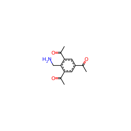 CC(=O)c1cc(C(C)=O)c(CN)c(C(C)=O)c1